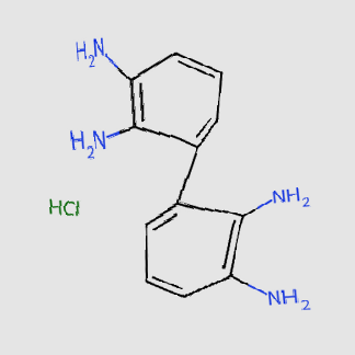 Cl.Nc1cccc(-c2cccc(N)c2N)c1N